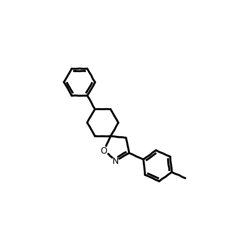 Cc1ccc(C2=NOC3(CCC(c4ccccc4)CC3)C2)cc1